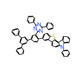 c1ccc(-c2cc(-c3ccccc3)cc(-c3ccc(-c4ccc5sc6c(ccc7c6c6ccccc6n7-c6ccccc6)c5c4)c(-c4nc(-c5ccccc5)nc(-c5ccccc5)n4)c3)c2)cc1